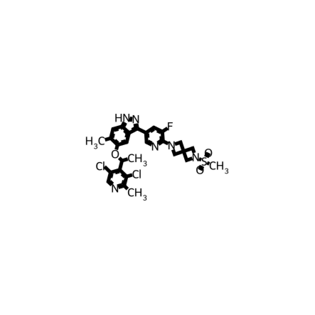 Cc1cc2[nH]nc(-c3cnc(N4CC5(C4)CN(S(C)(=O)=O)C5)c(F)c3)c2cc1OC(C)c1c(Cl)cnc(C)c1Cl